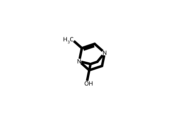 CC1=CN2CCN1C(O)C2